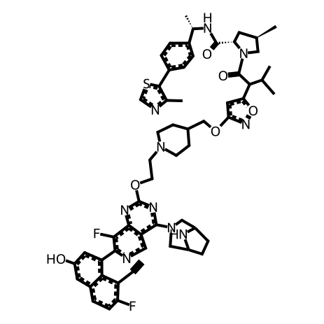 C#Cc1c(F)ccc2cc(O)cc(-c3ncc4c(N5CC6CCC(C5)N6)nc(OCCN5CCC(COc6cc(C(C(=O)N7C[C@H](C)C[C@H]7C(=O)N[C@@H](C)c7ccc(-c8scnc8C)cc7)C(C)C)on6)CC5)nc4c3F)c12